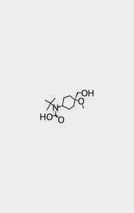 CO[C@]1(CO)CC[C@@H](N(C(=O)O)C(C)(C)C)CC1